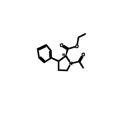 CCOC(=O)[C@@H]1C(c2ccccc2)CCN1C(C)=O